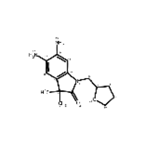 CC1(C)C(=O)N(CC2CCCO2)c2cc(N)c(N)cc21